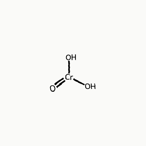 [O]=[Cr]([OH])[OH]